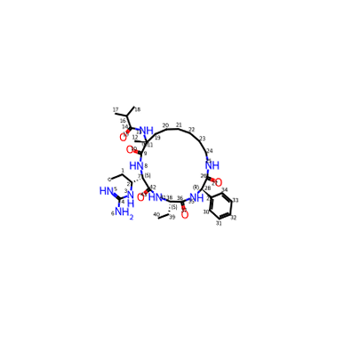 CCC(NC(=N)N)[C@@H]1NC(=O)[C@](C)(NC(=O)C(C)C)CCCCCCNC(=O)[C@@H](c2ccccc2)NC(=O)[C@H](CC)NC1=O